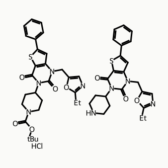 CCc1ncc(Cn2c(=O)n(C3CCN(C(=O)OC(C)(C)C)CC3)c(=O)c3sc(-c4ccccc4)cc32)o1.CCc1ncc(Cn2c(=O)n(C3CCNCC3)c(=O)c3sc(-c4ccccc4)cc32)o1.Cl